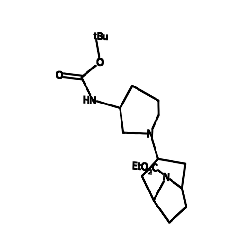 CCOC(=O)N1C2CCC1CC(N1CCCC(NC(=O)OC(C)(C)C)C1)C2